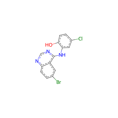 Oc1ccc(Cl)cc1Nc1ncnc2ccc(Br)cc12